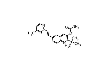 Cc1ccnc(C=Cc2ccc3nc(C(C)(C)C)c(OC(N)=O)cc3c2)n1